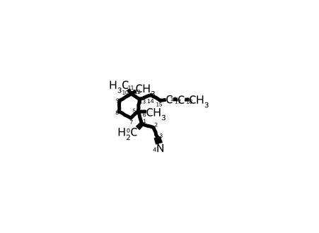 C=C(CC#N)C1(C)CCCC(C)(C)C1CCCCC